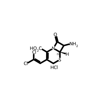 Cl.NC1C(=O)N2C(C(=O)O)=C(C=C(Cl)Cl)CS[C@@H]12